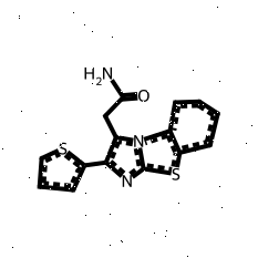 NC(=O)Cc1c(-c2cccs2)nc2sc3ccccc3n12